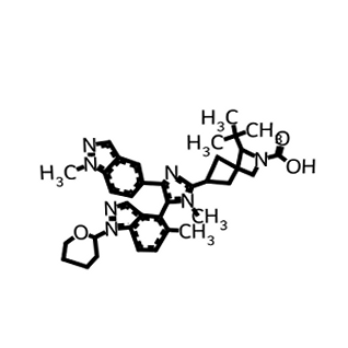 Cc1ccc2c(cnn2C2CCCCO2)c1-c1c(-c2ccc3c(cnn3C)c2)nc(C2CC3(C2)CN(C(=O)O)C3C(C)(C)C)n1C